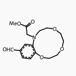 COC(=O)CN1CCOCCOCCOc2ccc(C=O)cc21